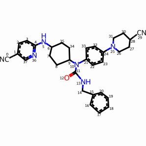 N#Cc1ccc(NC2CCC(N(C(=O)NCc3ccccc3)c3ccc(N4CCC(C#N)CC4)cc3)CC2)nc1